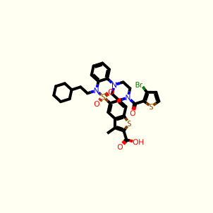 Cc1c(C(=O)O)sc2ccc(S(=O)(=O)N(CCC3CCCCC3)c3ccccc3N3CCN(C(=O)c4sccc4Br)CC3)cc12